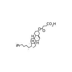 CC(C)CCC[C@@H](C)[C@H]1CC[C@H]2[C@@H]3CC=C4CC(OC(=O)CCC(=O)O)CC[C@]4(C)[C@H]3CC[C@]12C